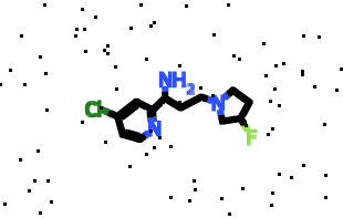 NC(CCN1CCC(F)C1)c1cc(Cl)ccn1